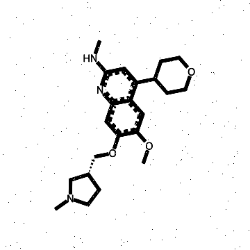 CNc1cc(C2CCOCC2)c2cc(OC)c(OC[C@@H]3CCN(C)C3)cc2n1